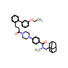 CCOc1cccc(-c2ccccc2CCC(=O)N2CCN(c3ccc(C(=O)N(C)CC45CC6CC(CC(C6)C4)C5)cc3)CC2)c1